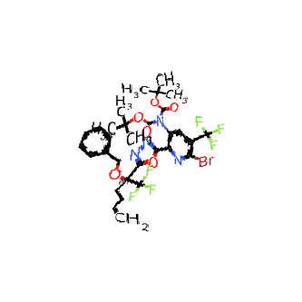 C=CCC[C@@](OCc1ccccc1)(c1nnc(-c2nc(Br)c(C(F)(F)F)cc2N(C(=O)OC(C)(C)C)C(=O)OC(C)(C)C)o1)C(F)(F)F